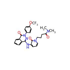 CN(C)C(=O)CCCn1cccc(Nc2nn(-c3ccc(OC(F)(F)F)cc3)c(=O)c3ccccc23)c1=O